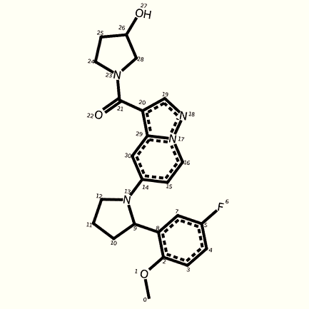 COc1ccc(F)cc1C1CCCN1c1ccn2ncc(C(=O)N3CCC(O)C3)c2c1